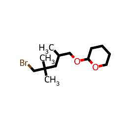 CC(COC1CCCCO1)CC(C)(C)CBr